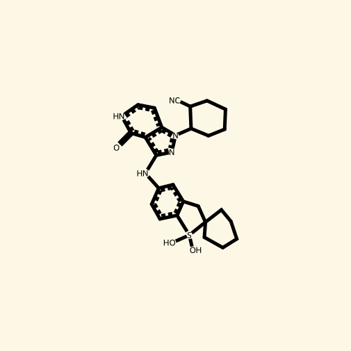 N#CC1CCCCC1n1nc(Nc2ccc3c(c2)CC2(CCCCC2)S3(O)O)c2c(=O)[nH]ccc21